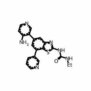 CCNC(=O)Nc1nc2cc(-c3cnccc3N)cc(-c3cccnc3)c2s1